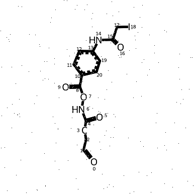 O=CCCC(=O)NOC(=O)c1ccc(NC(=O)CI)cc1